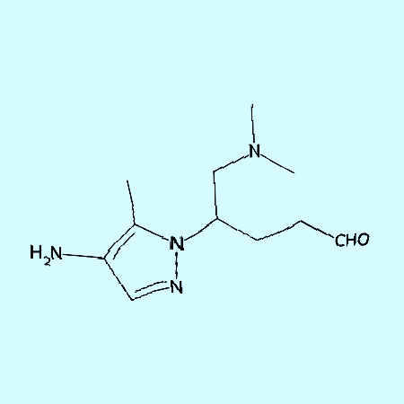 Cc1c(N)cnn1C(CCC=O)CN(C)C